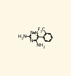 Nc1nnc(-c2ccccc2C(F)(F)F)c(N)n1